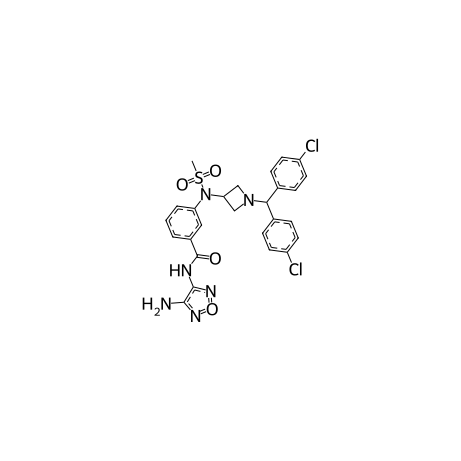 CS(=O)(=O)N(c1cccc(C(=O)Nc2nonc2N)c1)C1CN(C(c2ccc(Cl)cc2)c2ccc(Cl)cc2)C1